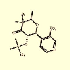 C[C@H]1O[C@@H](c2ccncc2[N+](=O)[O-])[C@H](O[Si](C)(C)C(C)(C)C)C(=O)[C@]1(C)O